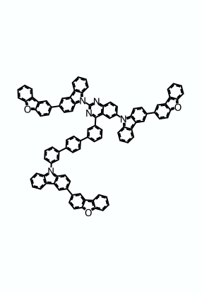 c1cc(-c2ccc(-c3cccc(-n4c5ccccc5c5cc(-c6ccc7oc8ccccc8c7c6)ccc54)c3)cc2)cc(-c2nc(-n3c4ccccc4c4cc(-c5ccc6oc7ccccc7c6c5)ccc43)nc3ccc(-n4c5ccccc5c5cc(-c6ccc7oc8ccccc8c7c6)ccc54)cc23)c1